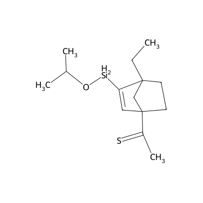 CCC12CCC(C(C)=S)(C=C1[SiH2]OC(C)C)C2